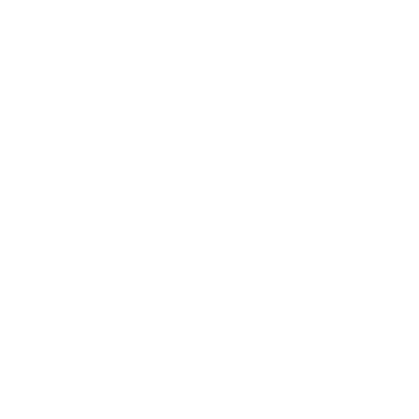 Cc1ccc(-c2cccc(-c3cc(C)cc(C)c3)c2-c2ccc(O)cc2)cc1